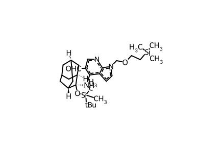 CC(C)(C)[Si](C)(C)O[C@]1(Nc2c(C=O)cnc3c2ccn3COCC[Si](C)(C)C)[C@H]2CC3C[C@@H](C2)C[C@H]1C3